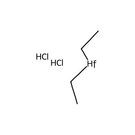 C[CH2][Hf][CH2]C.Cl.Cl